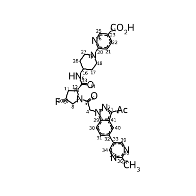 CC(=O)c1nn(CC(=O)N2C[C@H](F)C[C@H]2C(=O)NC2CCN(c3ccc(C(=O)O)cn3)CC2)c2ccc(-c3cnc(C)nc3)cc12